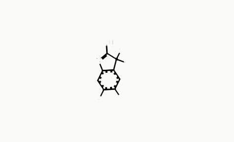 CC1=Nc2cc(F)c(Cl)cc2C1(C)C